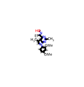 CC/C(=N\O)c1nc(C)nc2c1c(C)cn2-c1ccc(OC)cc1OC